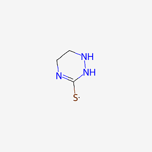 [S]C1=NCCNN1